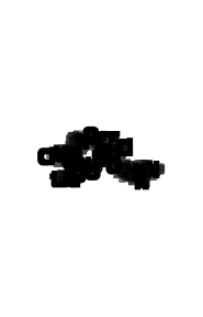 C[C@H](OC(C)(C)C)[C@@H]1NC(=O)[C@H](C)N(Cc2ccc(Cl)cc2Oc2ccc(-c3cnc(CN(C)C)n3C)cc2)C(=O)C[C@@H](CC(F)(F)F)C(=O)N2CCC[C@@](Cc3ccc(Cl)cc3)(C2)NC1=O